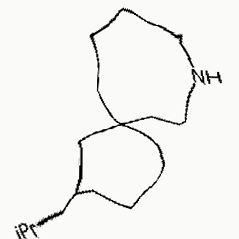 CC(C)C1CCC2(CCCCNC2)C1